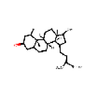 CC(=O)NC(CCC1CC(OC(C)=O)[C@@]2(C)CC[C@@H]3[C@@H](CCC4CC(=O)CC(C)[C@@]43C)[C@H]12)OC(C)=O